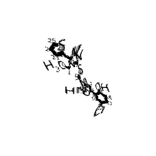 CCn1c(SCN2C=C(c3cc(Cl)ccc3O)ON2)nnc1-c1cccs1